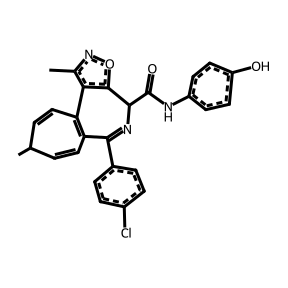 Cc1noc2c1C1=C(C=CC(C)C=C1)C(c1ccc(Cl)cc1)=NC2C(=O)Nc1ccc(O)cc1